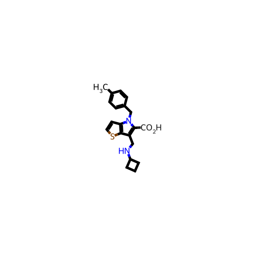 Cc1ccc(Cn2c(C(=O)O)c(CNC3CCC3)c3sccc32)cc1